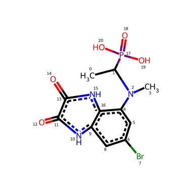 CC(N(C)c1cc(Br)cc2[nH]c(=O)c(=O)[nH]c12)P(=O)(O)O